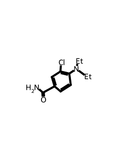 CCN(CC)c1ccc(C(N)=O)cc1Cl